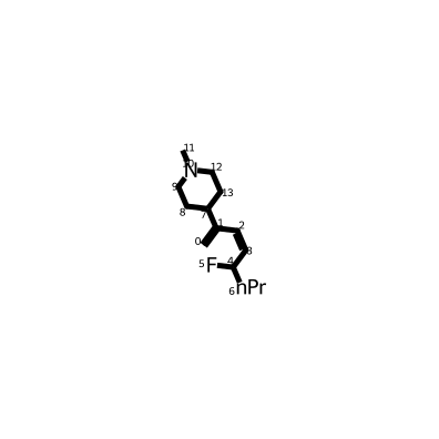 C=C(/C=C\C(F)CCC)C1CCN(C)CC1